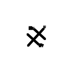 CCC(C)C(C)(F)C(C)(C)C(C)C